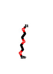 CC[CH]OCCOCCOCC